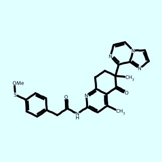 COSc1ccc(CC(=O)Nc2cc(C)c3c(n2)CCC(C)(c2nccn4ccnc24)C3=O)cc1